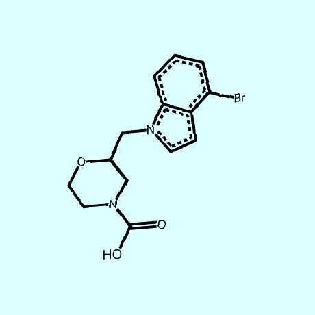 O=C(O)N1CCOC(Cn2ccc3c(Br)cccc32)C1